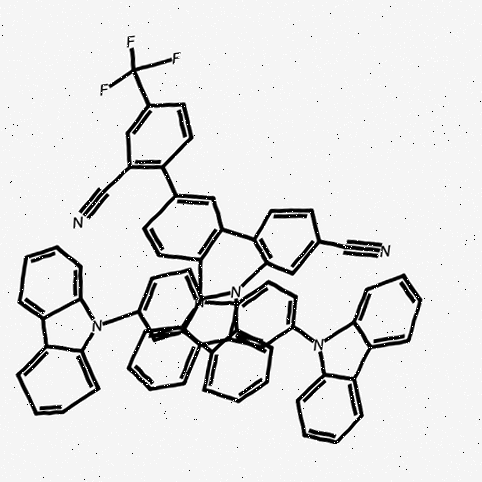 N#Cc1ccc(-c2cc(-c3ccc(C(F)(F)F)cc3C#N)ccc2-n2c3ccccc3c3cc(-n4c5ccccc5c5ccccc54)ccc32)c(-n2c3ccccc3c3cc(-n4c5ccccc5c5ccccc54)ccc32)c1